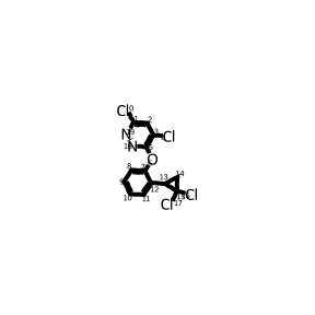 Clc1cc(Cl)c(Oc2ccccc2C2CC2(Cl)Cl)nn1